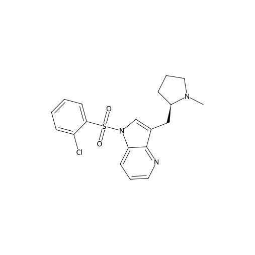 CN1CCC[C@@H]1Cc1cn(S(=O)(=O)c2ccccc2Cl)c2cccnc12